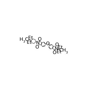 CCC(C)(CC)C1CCC(N2C(=O)c3ccc(Oc4ccc5c(c4)C(=O)N(C(C)(CC)CC)C5=O)cc3C2=O)CC1